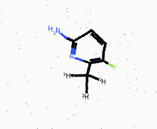 [2H]C([2H])([2H])c1nc(N)ccc1F